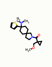 COCC1(C(=O)N2CCC3(CCC(c4cccs4)(N(C)C)CC3)C2)CC1